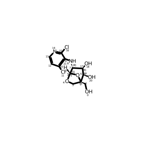 OC[C@@]12CO[C@@H](O1)[C@H](Nc1c(C(F)(F)F)ccnc1Cl)[C@@H](O)[C@H]2O